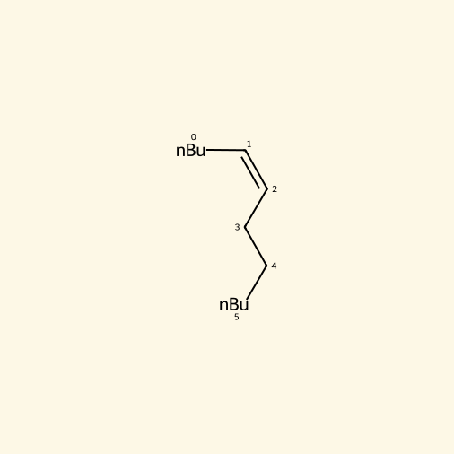 [CH2]CCC/C=C\CCCCCC